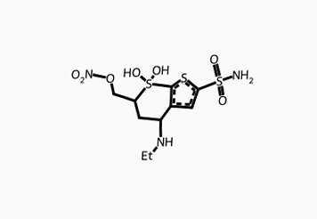 CCNC1CC(CO[N+](=O)[O-])S(O)(O)c2sc(S(N)(=O)=O)cc21